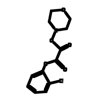 O=C(Oc1ccccc1Cl)C(=O)ON1CCOCC1